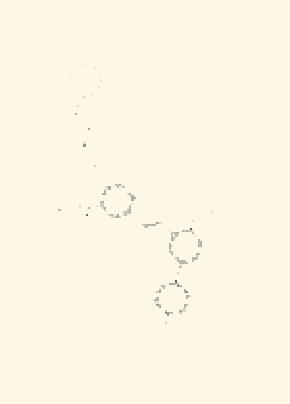 O=C(O)c1ccc(-c2ccc(F)cc2)cc1C=Cc1ccc(OCCCCC2CCCCC2)c([N+](=O)[O-])c1